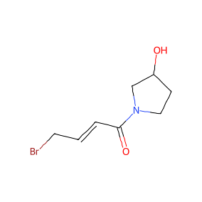 O=C(C=CCBr)N1CCC(O)C1